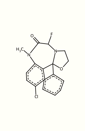 CN1C(=O)C(F)N2CCOC2(c2ccccc2)c2cc(Cl)ccc21